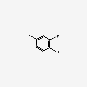 CC(C)c1[c]c(C(C)C)c(C(C)C)[c]c1